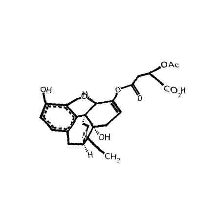 CC(=O)OC(CC(=O)OC1=CC[C@@]2(O)[C@H]3Cc4ccc(O)c5c4[C@@]2(CCN3C)[C@H]1O5)C(=O)O